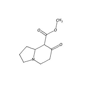 COC(=O)C1C(=O)CCN2CCCC12